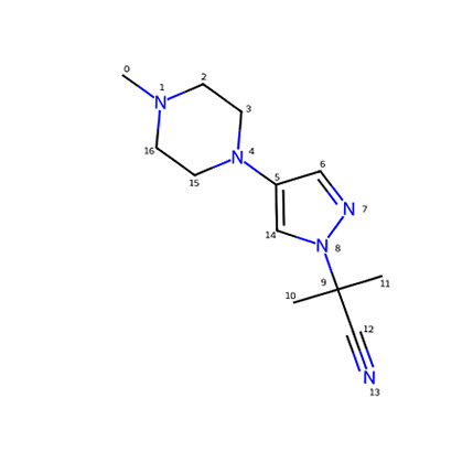 CN1CCN(c2cnn(C(C)(C)C#N)c2)CC1